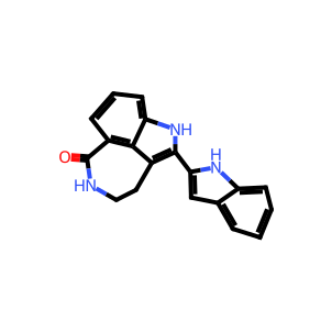 O=C1NCCc2c(-c3cc4ccccc4[nH]3)[nH]c3cccc1c23